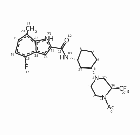 CC(=O)N1CCN([C@H]2CCC[C@@H](NC(=O)c3cc4c(F)ccc(C)c4[nH]3)C2)C[C@H]1C(F)(F)F